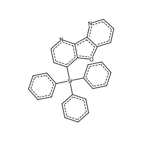 c1ccc([Si](c2ccccc2)(c2ccccc2)c2ccnc3c2oc2cccnc23)cc1